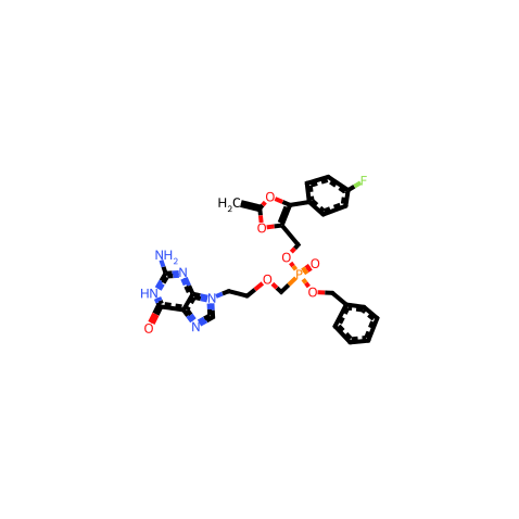 C=C1OC(COP(=O)(COCCn2cnc3c(=O)[nH]c(N)nc32)OCc2ccccc2)=C(c2ccc(F)cc2)O1